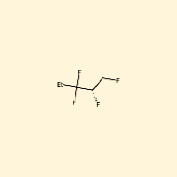 [CH2]CC(F)(F)[C@@H](F)CF